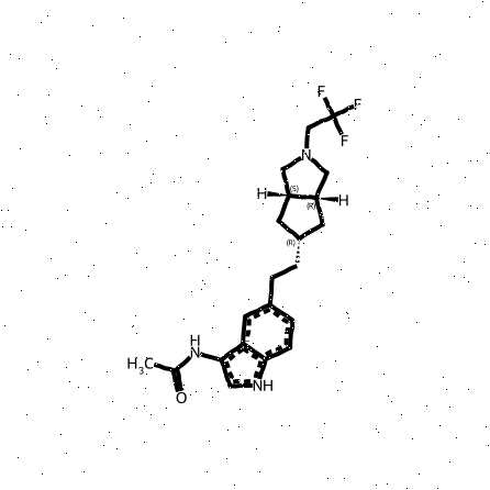 CC(=O)Nc1c[nH]c2ccc(CC[C@@H]3C[C@@H]4CN(CC(F)(F)F)C[C@@H]4C3)cc12